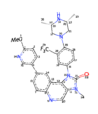 COc1ccc(-c2ccc3ncc4c(c3c2)n(-c2ccc(N3C[C@@H](C)N[C@@H](C)C3)c(C(F)(F)F)c2)c(=O)n4C)cn1